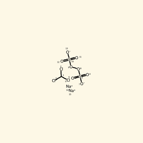 ClC(Cl)Cl.O=S(=O)([O-])OOS(=O)(=O)[O-].[Na+].[Na+]